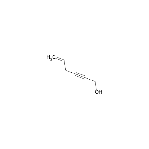 C=CCC#CCO